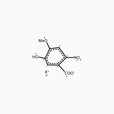 COc1cc([N+](=O)[O-])c(C(=O)[O-])cc1O.[K+]